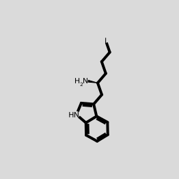 N[C@@H](CCCI)Cc1c[nH]c2ccccc12